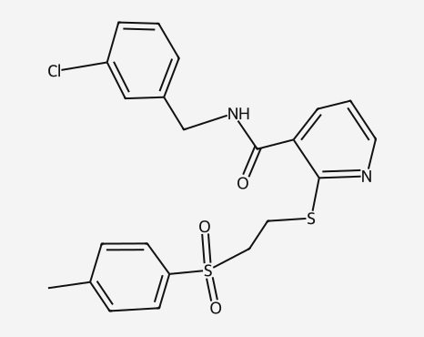 Cc1ccc(S(=O)(=O)CCSc2ncccc2C(=O)NCc2cccc(Cl)c2)cc1